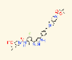 Cc1c(NC(=O)N2C[C@@H](CC(C)C)[C@H](O)C2)cc(F)cc1-c1ncnc2[nH]c(-c3ccc(CCN4CCC5(CC4)CCN(C(=O)OC(C)(C)C)CC5)cc3)cc12